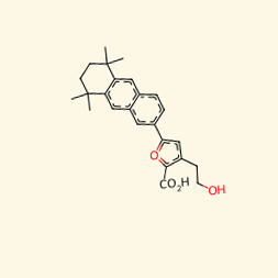 CC1(C)CCC(C)(C)c2cc3cc(-c4cc(CCO)c(C(=O)O)o4)ccc3cc21